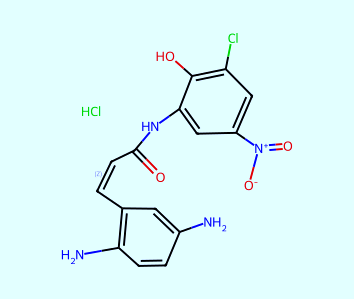 Cl.Nc1ccc(N)c(/C=C\C(=O)Nc2cc([N+](=O)[O-])cc(Cl)c2O)c1